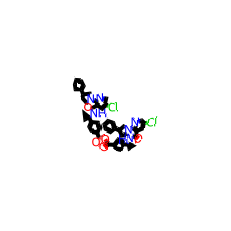 O=C(OC(=O)c1ccc(C2(NC(=O)c3cc(Cl)cnc3N3CCC(c4ccccc4)C3)CC2)cc1)c1ccc(C2(NC(=O)c3cc(Cl)cnc3N3CCC(c4ccccc4)C3)CC2)cc1